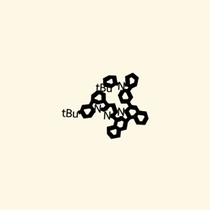 CC(C)(C)c1ccc2c(c1)c1cc(C(C)(C)C)cc3c4cc5c(nc4n2c13)c1c2ccccc2cc2c3c4ccccc4cc(-c4ccc6c(c4)c4ccccc4n6-c4ccccc4)c3n5c21